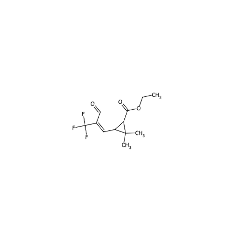 CCOC(=O)C1C(/C=C(\C=O)C(F)(F)F)C1(C)C